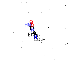 CCC1C(N2CCC3(CC2)CNC(=O)O3)CC12CCN(C(=O)O)C2